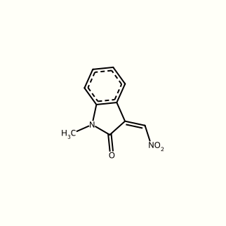 CN1C(=O)C(=C[N+](=O)[O-])c2ccccc21